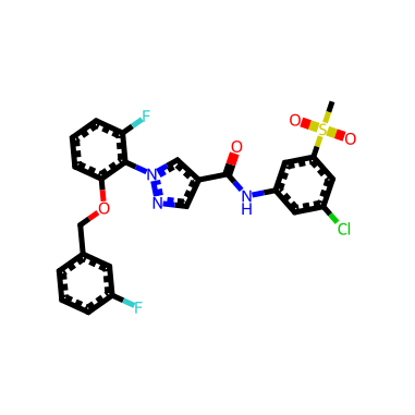 CS(=O)(=O)c1cc(Cl)cc(NC(=O)c2cnn(-c3c(F)cccc3OCc3cccc(F)c3)c2)c1